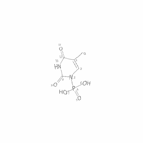 Cc1cn(P(=O)(O)O)c(=O)[nH]c1=O